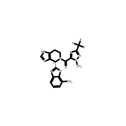 Cc1cccc2nc([C@@H]3c4nc[nH]c4CCN3C(=O)c3nc(C(F)(F)F)nn3C)oc12